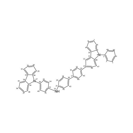 c1ccc(-n2c3ccccc3c3cc(-c4ccc(-c5ccc(Nc6ccc(-n7c8ccccc8c8ccccc87)cc6)cc5)cc4)ccc32)cc1